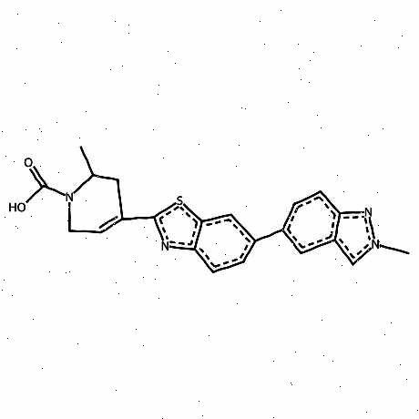 CC1CC(c2nc3ccc(-c4ccc5nn(C)cc5c4)cc3s2)=CCN1C(=O)O